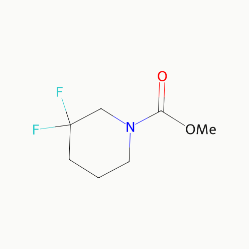 COC(=O)N1CCCC(F)(F)C1